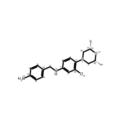 C[C@@H]1CN(c2ccc(NCc3ccc(N)cc3)cc2Cl)C[C@H](C)O1